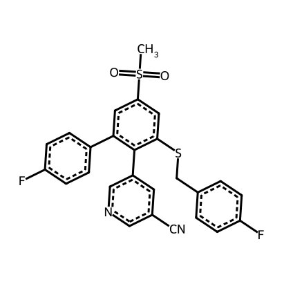 CS(=O)(=O)c1cc(SCc2ccc(F)cc2)c(-c2cncc(C#N)c2)c(-c2ccc(F)cc2)c1